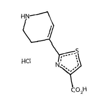 Cl.O=C(O)c1csc(C2=CCNCC2)n1